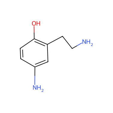 NCCc1cc(N)ccc1O